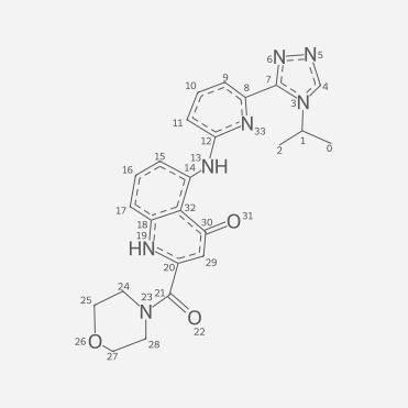 CC(C)n1cnnc1-c1cccc(Nc2cccc3[nH]c(C(=O)N4CCOCC4)cc(=O)c23)n1